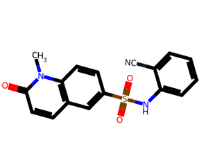 Cn1c(=O)ccc2cc(S(=O)(=O)Nc3ccccc3C#N)ccc21